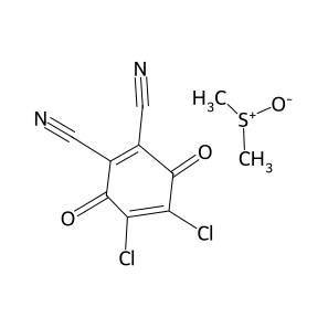 C[S+](C)[O-].N#CC1=C(C#N)C(=O)C(Cl)=C(Cl)C1=O